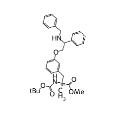 COC(=O)[C@](C)(Cc1cccc(OCC(NCc2ccccc2)c2ccccc2)c1)NC(=O)OC(C)(C)C